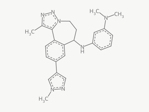 Cc1nnn2c1-c1ccc(-c3cnn(C)c3)cc1C(Nc1cccc(N(C)C)c1)CC2